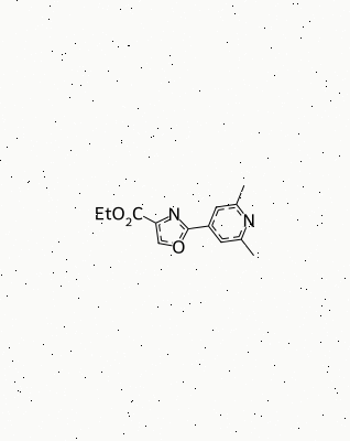 CCOC(=O)c1coc(-c2cc(C)nc(C)c2)n1